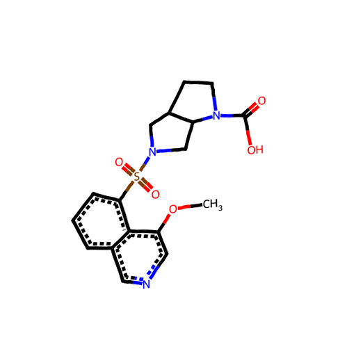 COc1cncc2cccc(S(=O)(=O)N3CC4CCN(C(=O)O)C4C3)c12